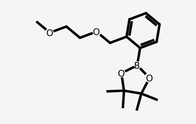 COCCOCc1ccccc1B1OC(C)(C)C(C)(C)O1